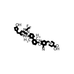 Cc1c(Nc2nc(C(F)F)nc3cc(CC4CC[C@@H](O)C4)cnc23)cccc1-c1cccc(-c2nc3cc(CN4CCC(C(=O)O)CC4)cc(C#N)c3o2)c1C